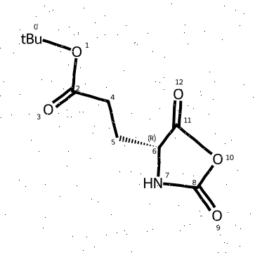 CC(C)(C)OC(=O)CC[C@H]1NC(=O)OC1=O